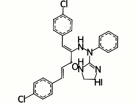 I.O=C(C=Cc1ccc(Cl)cc1)C(=Cc1ccc(Cl)cc1)NN(C1=NCCN1)c1ccccc1